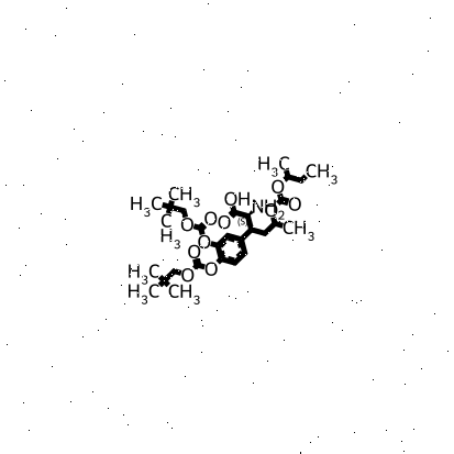 CCC(C)OC(=O)OC(C)CC(c1ccc(OC(=O)OCC(C)(C)C)c(OC(=O)OCC(C)(C)C)c1)[C@H](N)C(=O)O